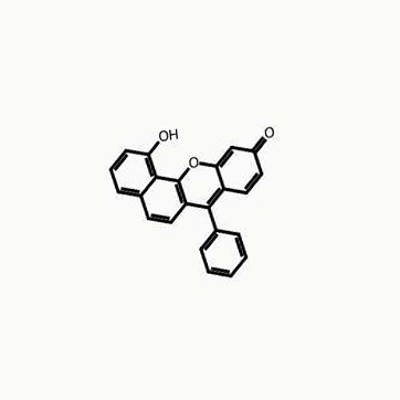 O=c1ccc2c(-c3ccccc3)c3ccc4cccc(O)c4c3oc-2c1